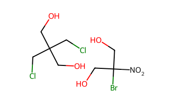 O=[N+]([O-])C(Br)(CO)CO.OCC(CO)(CCl)CCl